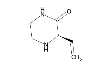 C=C[C@H]1NCCNC1=O